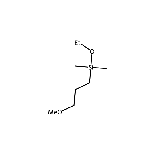 CCO[Si](C)(C)CCCOC